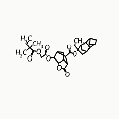 CCC(C)(C)C(=O)OCC(=O)OC1C2CC3C1OC(=O)C3C2C(=O)OC1(CC)CC2CC1C1C3CC(C3)C21